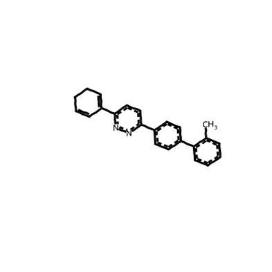 Cc1ccccc1-c1ccc(-c2ccc(C3=CCCC=C3)nn2)cc1